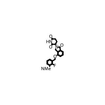 CNc1cccc(COc2cccc3c2CN([C@@H]2CCC(=O)NC2=O)C3=O)c1F